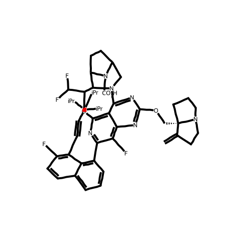 C=C1CCN2CCC[C@]12COc1nc2c3c(nc(-c4cccc5ccc(F)c(C#C[Si](C(C)C)(C(C)C)C(C)C)c45)c(F)c3n1)OC(C(F)F)C1C3CCC(CN21)N3C(=O)O